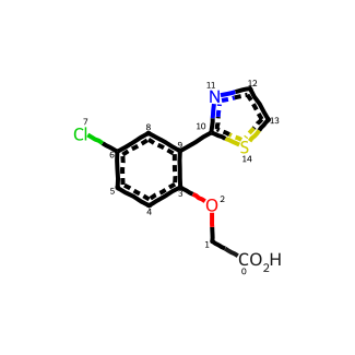 O=C(O)COc1ccc(Cl)cc1-c1nccs1